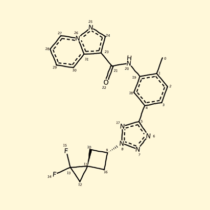 Cc1ccc(-c2nnn([C@H]3C[C@]4(CC4(F)F)C3)n2)cc1NC(=O)c1cnn2ccccc12